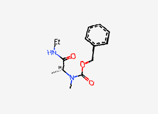 CCNC(=O)[C@@H](C)N(C)C(=O)OCc1ccccc1